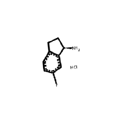 Cl.N[C@@H]1CCc2ccc(F)cc21